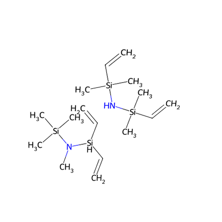 C=C[SiH](C=C)N(C)[Si](C)(C)C.C=C[Si](C)(C)N[Si](C)(C)C=C